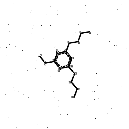 [CH2]Cc1nc(CCCC)cc(CCCC)n1